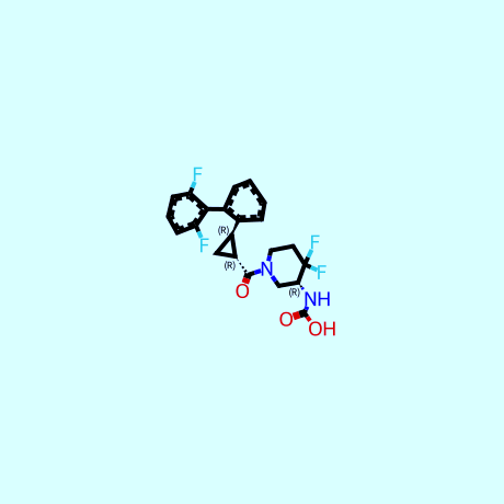 O=C(O)N[C@@H]1CN(C(=O)[C@@H]2C[C@H]2c2ccccc2-c2c(F)cccc2F)CCC1(F)F